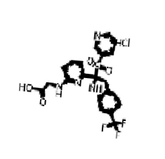 Cl.NC(Cc1ccc(C(F)(F)F)cc1)(c1cccc(NCC(=O)O)n1)S(=O)(=O)c1cccnc1